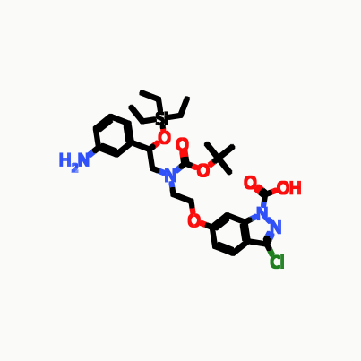 CC[Si](CC)(CC)OC(CN(CCOc1ccc2c(Cl)nn(C(=O)O)c2c1)C(=O)OC(C)(C)C)c1cccc(N)c1